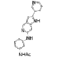 CC(=O)Nc1cccc(Nc2cc3[nH]c(-c4cccnc4)cc3cn2)c1